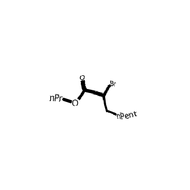 CCCCCCC(Br)C(=O)OCCC